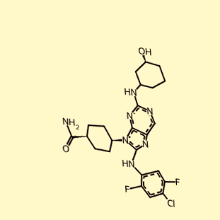 NC(=O)[C@H]1CC[C@@H](n2c(Nc3cc(F)c(Cl)cc3F)nc3cnc(NC4CCC[C@H](O)C4)nc32)CC1